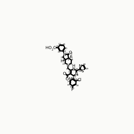 COC(=O)C1=C(CN2CC[C@]3(F)C(=O)N(c4cccc(C(=O)O)c4)C[C@@H]3C2)NC(c2nccs2)=N[C@H]1c1ccc(F)cc1Cl